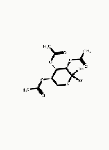 CC(=O)O[C@@H]1[C@@H](OC(C)=O)C(O)(Br)SC[C@H]1OC(C)=O